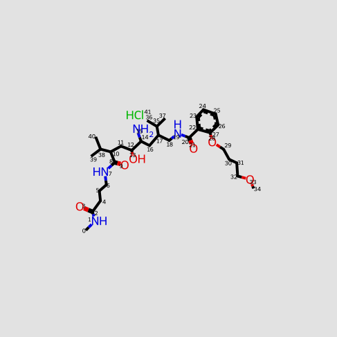 CNC(=O)CCCNC(=O)C(CC(O)C(N)CC(CNC(=O)c1ccccc1OCCCCOC)C(C)C)C(C)C.Cl